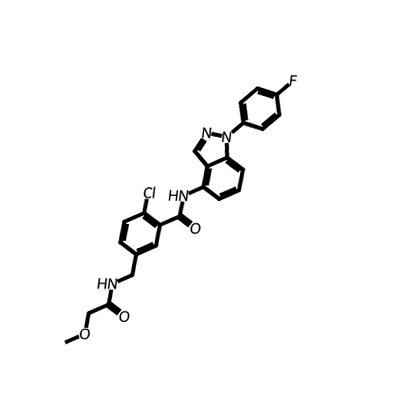 COCC(=O)NCc1ccc(Cl)c(C(=O)Nc2cccc3c2cnn3-c2ccc(F)cc2)c1